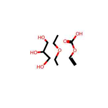 C=COC(=O)O.CCOCC.OCC(O)CO